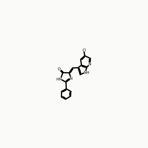 O=C1NC(c2ccccc2)=NC1=Cc1c[nH]c2ncc(Cl)cc12